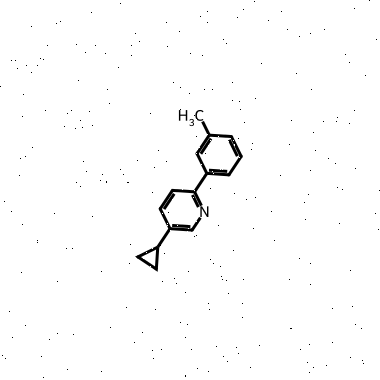 Cc1cccc(-c2ccc(C3CC3)cn2)c1